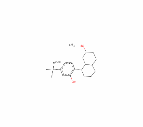 C.CCCCCCC(C)(C)c1ccc(C2CCCC3CCC(O)CC32)c(O)c1